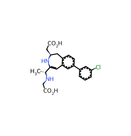 C[C@@H](NCC(=O)O)C1=Cc2cc(-c3cccc(Cl)c3)ccc2C[C@H](CC(=O)O)N1